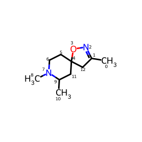 CC1=NOC2(CCN(C)C(C)C2)C1